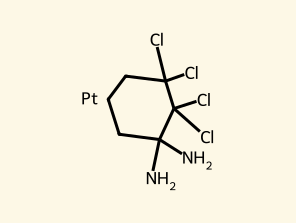 NC1(N)CCCC(Cl)(Cl)C1(Cl)Cl.[Pt]